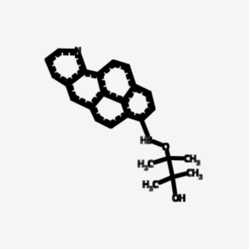 CC(C)(O)C(C)(C)OBc1ccc2ccc3c4ncccc4cc4ccc1c2c43